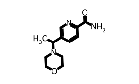 CC(c1ccc(C(N)=O)nc1)N1CCOCC1